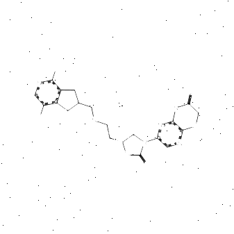 Cc1ncc(F)c2c1CC(CNCC[C@H]1CN(c3cnc4c(n3)NC(=O)CO4)C(=O)O1)C2